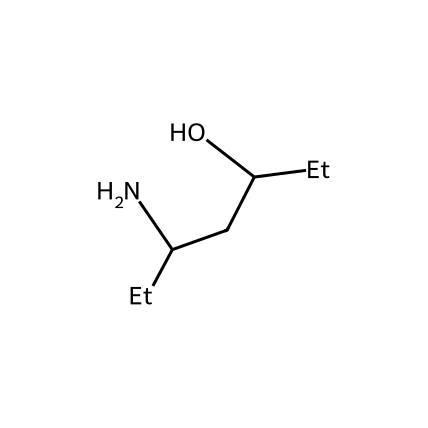 [CH2]CC(N)CC(O)CC